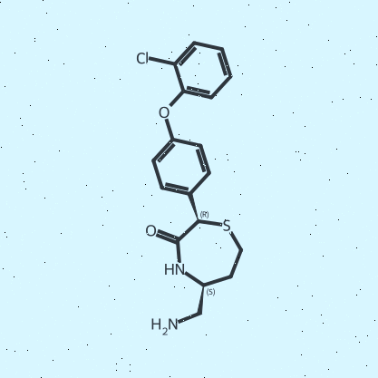 NC[C@@H]1CCS[C@H](c2ccc(Oc3ccccc3Cl)cc2)C(=O)N1